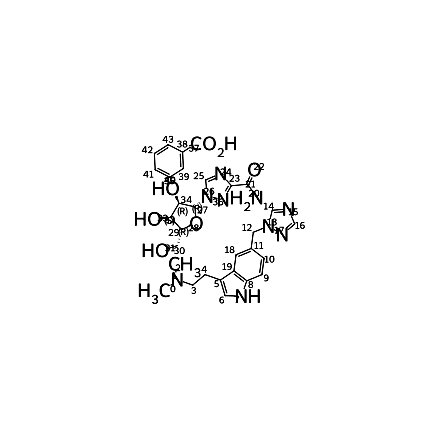 CN(C)CCc1c[nH]c2ccc(Cn3cncn3)cc12.NC(=O)c1ncn([C@@H]2O[C@H](CO)[C@@H](O)[C@H]2O)n1.O=C(O)c1ccccc1